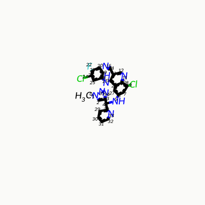 Cn1cc(C(Nc2cc(Cl)c3ncc(C#N)c(Nc4ccc(F)c(Cl)c4)c3c2)c2ccccn2)nn1